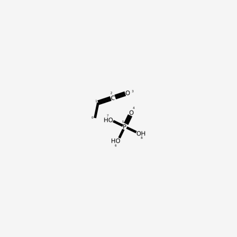 CC=C=O.O=P(O)(O)O